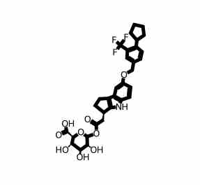 O=C(C[C@H]1CCc2c1[nH]c1ccc(OCc3ccc(C4CCCC4)c(C(F)(F)F)c3)cc21)OC1O[C@H](C(=O)O)[C@@H](O)[C@H](O)[C@H]1O